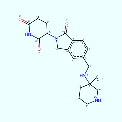 CC1(NCc2ccc3c(c2)CN(C2CCC(=O)NC2=O)C3=O)CCCNC1